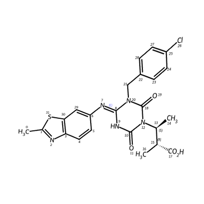 Cc1nc2ccc(/N=c3\[nH]c(=O)n([C@@H](C)[C@@H](C)C(=O)O)c(=O)n3Cc3ccc(Cl)cc3)cc2s1